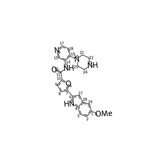 COc1ccc2[nH]c(-c3ccc(C(=O)Nc4cnccc4N4CCNCC4)o3)cc2c1